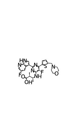 C[C@H](Nc1nc(-c2c[nH]c3ncc(F)cc23)nc(-c2ccc(CN3CCOCC3)s2)c1F)[C@H](C)C(=O)O